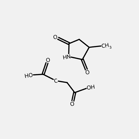 CC1CC(=O)NC1=O.O=C(O)CCC(=O)O